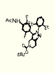 CCc1cccc(CC)c1-n1nc2c(c1-c1cc(F)c(NC(C)=O)cc1F)CN(C(=O)OC(C)(C)C)CC2